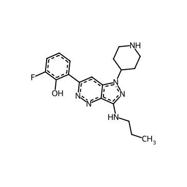 CCCNc1nn(C2CCNCC2)c2cc(-c3cccc(F)c3O)nnc12